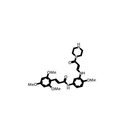 COc1cc(OC)c(C=CC(=O)Nc2ccc(OC)c(NC=CC(=O)N3CCNCC3)c2)c(OC)c1